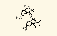 CC(C)n1nc(Br)c2ccc(N)cc2c1=O.CC(C)n1nc(Br)c2ccc([N+](=O)[O-])cc2c1=O